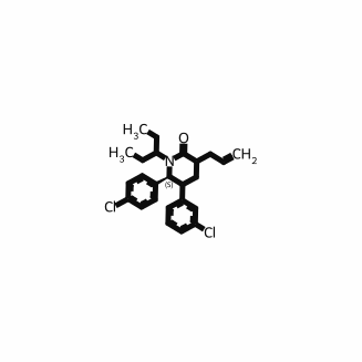 C=CCC1CC(c2cccc(Cl)c2)[C@@H](c2ccc(Cl)cc2)N(C(CC)CC)C1=O